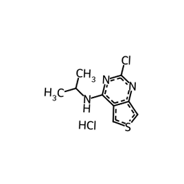 CC(C)Nc1nc(Cl)nc2cscc12.Cl